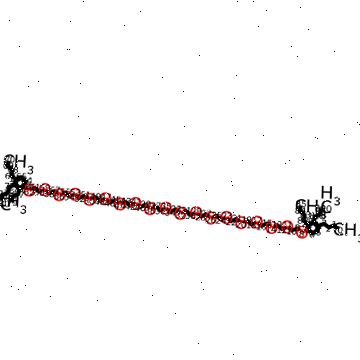 CCCCc1ccc(OCCOCCOCCOCCOCCOCCOCCOCCOCCOCCOCCOCCOCCOCCOCCOCCOCCOCCOc2ccc(CCCC)c(CCCC)c2CCCC)c(CCCC)c1CCCC